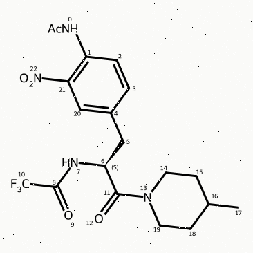 CC(=O)Nc1ccc(C[C@H](NC(=O)C(F)(F)F)C(=O)N2CCC(C)CC2)cc1[N+](=O)[O-]